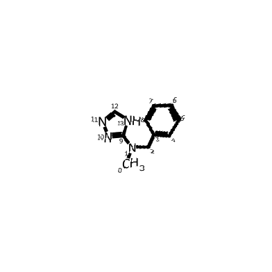 CN(Cc1ccccc1)c1nnc[nH]1